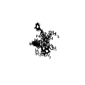 COc1c(C(=O)O)ccc(C(C)(C)C)c1C[C@H](NC(=O)C(NS(=O)(=O)NC(=O)OC(C)(C)C)c1csc(NC(=O)OCc2ccccc2)n1)B1OC2C[C@H]3C[C@@H](C3(C)C)[C@]2(C)O1